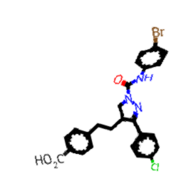 O=C(O)c1ccc(CCC2CN(C(=O)Nc3ccc(Br)cc3)N=C2c2ccc(Cl)cc2)cc1